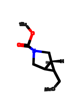 COCC1C2CN(C(=O)OC(C)(C)C)C[C@H]12